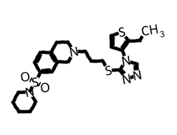 CCc1sccc1-n1cnnc1SCCCN1CCc2ccc(S(=O)(=O)N3CCCCC3)cc2C1